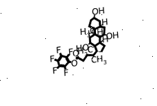 C[C@H](CCC(=O)Oc1c(F)c(F)c(F)c(F)c1F)[C@H]1CC[C@H]2[C@@H]3[C@H](O)C[C@@H]4C[C@H](O)CC[C@]4(C)[C@H]3C[C@H](O)[C@]12C